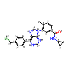 Cc1ccc(C(=O)NC2CC2)cc1-n1cnc2c(-c3ccc(CBr)cc3)ncnc21